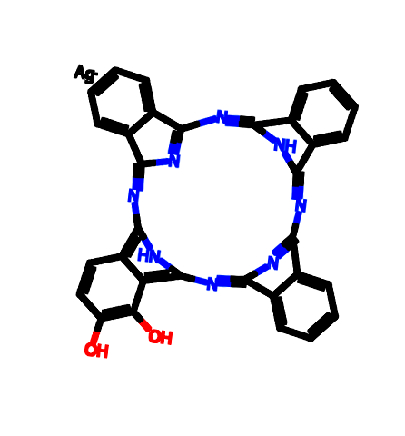 Oc1ccc2c3nc4nc(nc5[nH]c(nc6nc(nc([nH]3)c2c1O)-c1ccccc1-6)c1ccccc51)-c1ccccc1-4.[Ag]